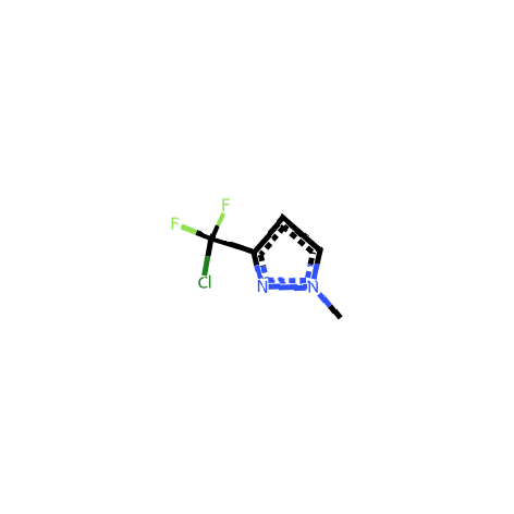 Cn1ccc(C(F)(F)Cl)n1